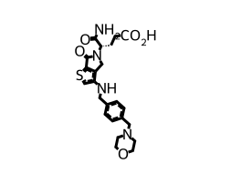 NC(=O)[C@H](CCC(=O)O)N1Cc2c(NCc3ccc(CN4CCOCC4)cc3)csc2C1=O